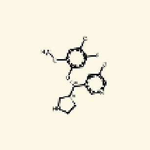 COc1cc(Cl)c(F)cc1O[C@H](c1cncc(Cl)c1)[C@@H]1CCNC1